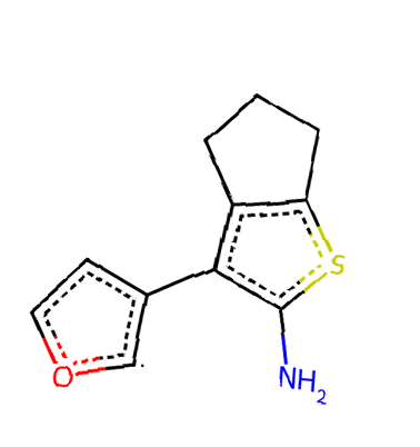 Nc1sc2c(c1-c1[c]occ1)CCC2